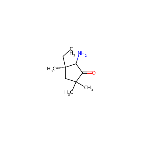 CC[C@]1(C)CC(C)(C)C(=O)C1N